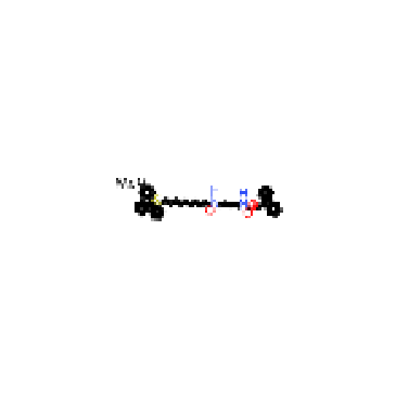 COc1ccc(C(SCCCCCCCCCCC(=O)NCCCCCNC(=O)OCC2c3ccccc3-c3ccccc32)(c2ccccc2)c2ccccc2)cc1